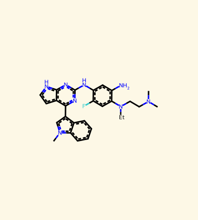 CCN(CCN(C)C)c1cc(F)c(Nc2nc(-c3cn(C)c4ccccc34)c3cc[nH]c3n2)cc1N